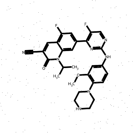 COc1cc(Nc2ncc(F)c(-c3cc(F)c4cc(C#N)c(=O)n(C(C)C)c4c3)n2)ccc1N1CCNCC1